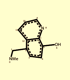 CNCc1ccc(O)c2ncccc12